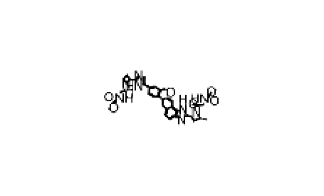 COC(=O)NCC(=O)N1CCC1c1ncc(-c2ccc3c(c2)COc2cc4c(ccc5nc(C6C[C@H](C)N6C(=O)CNC(=O)OC)[nH]c54)cc2-3)[nH]1